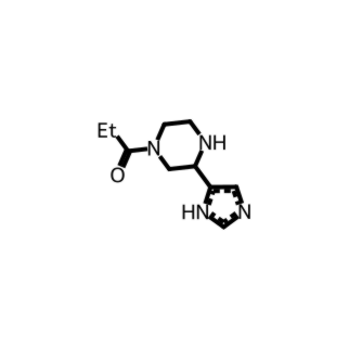 CCC(=O)N1CCNC(c2cnc[nH]2)C1